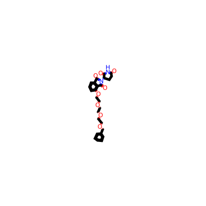 O=C1CCC(N2C(=O)c3cccc(OCCOCCOCCOCc4ccccc4)c3C2=O)C(=O)N1